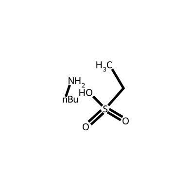 CCCCN.CCS(=O)(=O)O